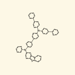 c1ccc(-c2ccc(N(c3ccc(-c4ccccc4)cc3)c3ccc(-c4ccc(N(c5ccccc5)c5ccc6sc7ccccc7c6c5)cc4)cc3)cc2)cc1